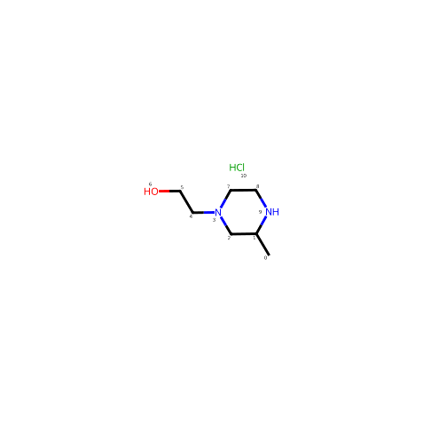 CC1CN(CCO)CCN1.Cl